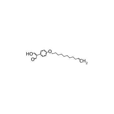 C=CCCCCCCCCCOc1ccc(C(C=O)=CO)cc1